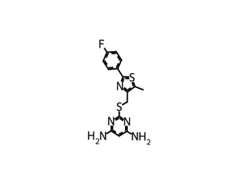 Cc1sc(-c2ccc(F)cc2)nc1CSc1nc(N)cc(N)n1